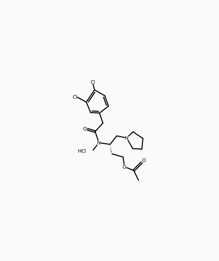 CC(=O)OCC[C@@H](CN1CCCC1)N(C)C(=O)Cc1ccc(Cl)c(Cl)c1.Cl